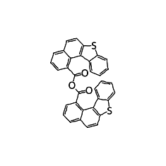 O=C(OC(=O)c1cccc2ccc3sc4ccccc4c3c12)c1cccc2ccc3sc4ccccc4c3c12